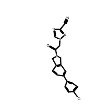 N#Cc1ncn(CC(=O)N2Cc3ccc(-c4ccc(Cl)cc4)cc3C2)n1